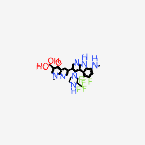 CNc1cc(F)c(F)c2c1[nH]c1ncc(-c3cnc4c(c3)c(=O)c(C(O)O)cn4C)c(N3CCNC(C(F)(F)F)C3)c12